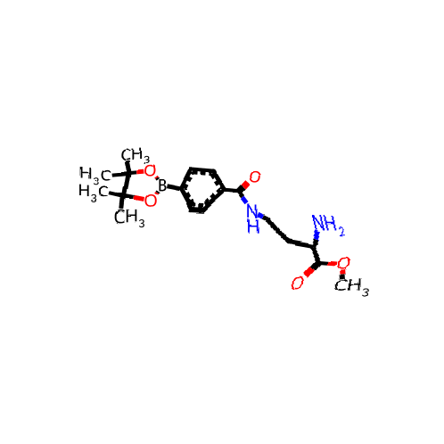 COC(=O)C(N)CCNC(=O)c1ccc(B2OC(C)(C)C(C)(C)O2)cc1